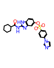 O=C(Nc1nc2cc(OS(=O)(=O)c3ccc(-n4ccnc4)cc3)ccc2[nH]1)C1CCCCC1